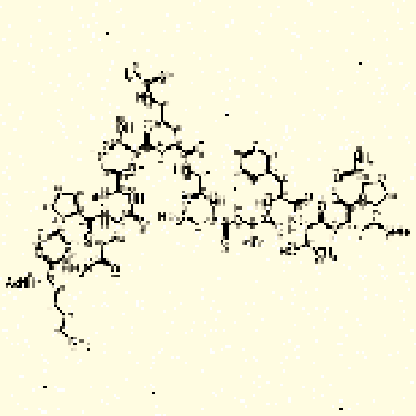 CSCC[C@H](NC(=O)[C@@H](NC(=O)[C@H](Cc1ccccc1)NC(=O)[C@@H](NC(=O)[C@H](CC(=O)O)NC(=O)CNC(=O)[C@H](CCCNC(=N)N)NC(=O)[C@@H](NC(=O)[C@@H](NC(=O)[C@H](CCC(N)=O)NC(=O)[C@@H]1CCCN1C(=O)CNC(=O)[C@H](CCCCN)NC(C)=O)C(C)C)[C@@H](C)O)C(C)C)[C@@H](C)O)C(=O)N1CCC[C@H]1C(N)=O